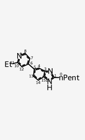 CCCCCc1nc2cc(-c3ccnc(CC)c3)ccc2[nH]1